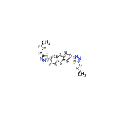 CCCCc1nnc(-c2ccc3cc4cc(-c5nnc(CCCC)s5)ccc4cc3c2)s1